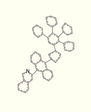 c1ccc(-c2cc(-c3cccc(-c4c5ccccc5c(-c5cc6ccccc6cn5)c5ccccc45)c3)c(-c3ccccc3)c(-c3ccccc3)c2-c2ccccc2)cc1